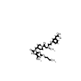 CCCCOc1nc(N)c2[nH]c(=O)n(CC3CCN(C(=O)CN(C)CCOc4cccc(CC(=O)O)c4)CC3)c2n1